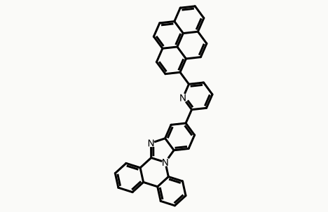 c1cc(-c2ccc3c(c2)nc2c4ccccc4c4ccccc4n32)nc(-c2ccc3ccc4cccc5ccc2c3c45)c1